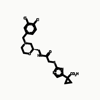 O=C(CSc1nc(C2(C(=O)O)CC2)cs1)NC[C@H]1CN(Cc2ccc(Cl)c(Cl)c2)CCO1